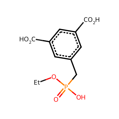 CCOP(=O)(O)Cc1cc(C(=O)O)cc(C(=O)O)c1